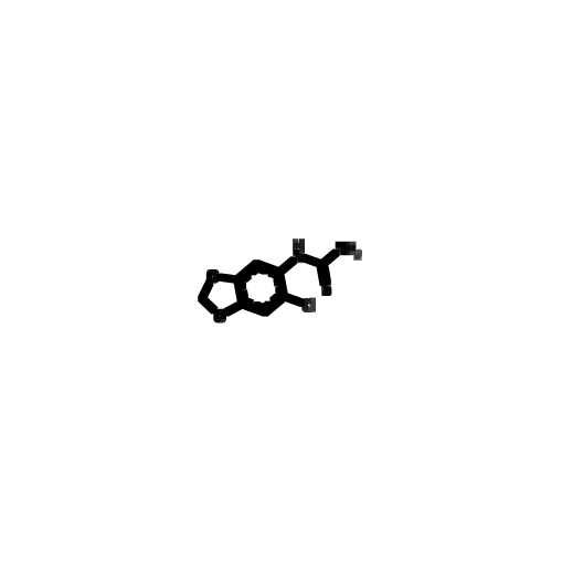 NC(=S)Nc1cc2c(cc1Cl)OCO2